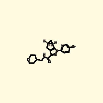 O=C(NCC1CCOCC1)c1nn(-c2ccc(Br)cn2)c2c1C[C@H]1C[C@@H]21